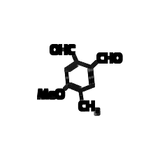 COc1cc(C=O)c(C=O)cc1C